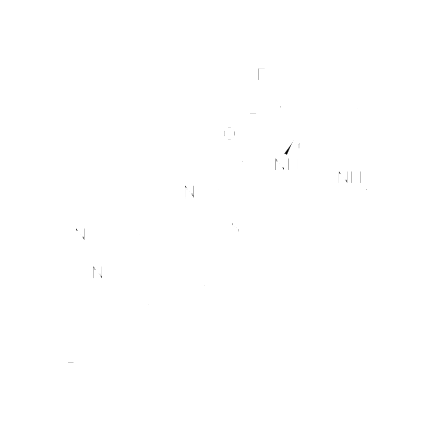 C=C(C)c1sc(C(=O)N[C@@H]2[C@@H](N)CCCC2(F)F)nc1-c1cnn2cc(F)ccc12